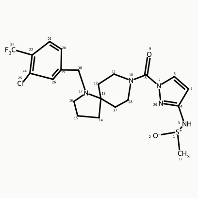 C[S+]([O-])Nc1ccn(C(=O)N2CCC3(CCCN3Cc3ccc(C(F)(F)F)c(Cl)c3)CC2)n1